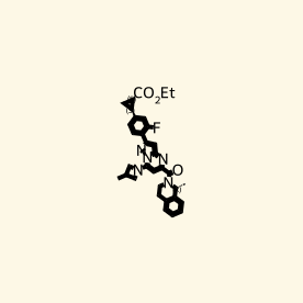 CCOC(=O)[C@H]1C[C@@H]1c1ccc(-c2cc3nc(C(=O)N4CCc5ccccc5[C@H]4C)cc(N4CC(C)C4)n3n2)c(F)c1